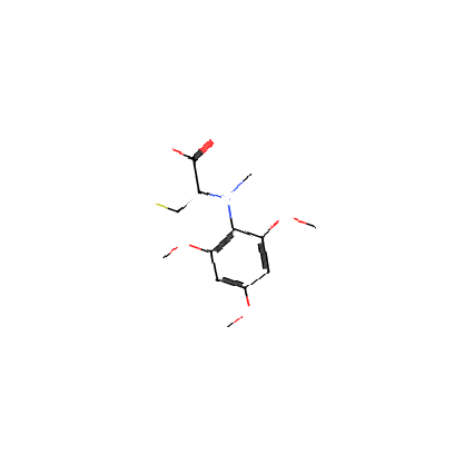 COc1cc(OC)c(N(C)[C@@H](CS)C(=O)O)c(OC)c1